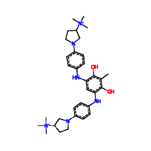 Cc1c(O)c(Nc2ccc(N3CCC([N+](C)(C)C)C3)cc2)cc(Nc2ccc(N3CCC([N+](C)(C)C)C3)cc2)c1O